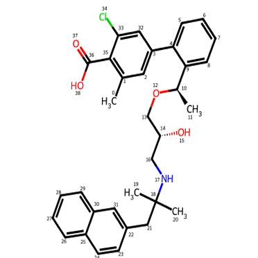 Cc1cc(-c2ccccc2[C@@H](C)OC[C@H](O)CNC(C)(C)Cc2ccc3ccccc3c2)cc(Cl)c1C(=O)O